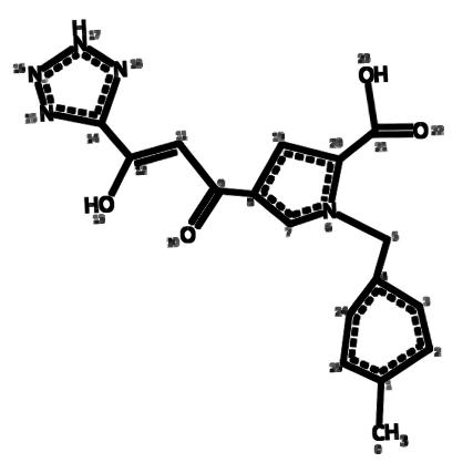 Cc1ccc(Cn2cc(C(=O)C=C(O)c3nn[nH]n3)cc2C(=O)O)cc1